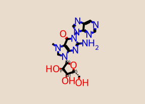 CN1CN([C@@H]2O[C@H](CO)[C@@H](O)[C@H]2O)c2nc(N)n(-n3cnc4cncnc43)c(=O)c21